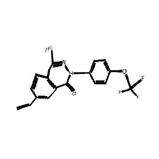 C=Cc1ccc2c(O)nn(-c3ccc(OC(F)(F)F)cc3)c(=O)c2c1